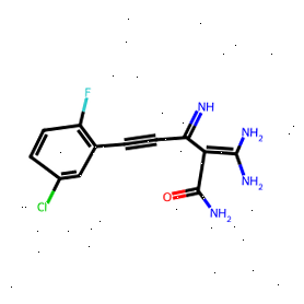 N=C(C#Cc1cc(Cl)ccc1F)C(C(N)=O)=C(N)N